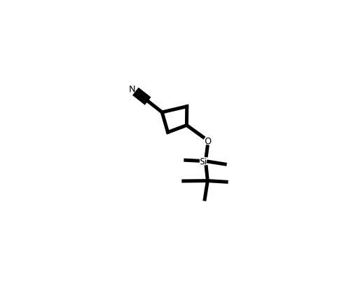 CC(C)(C)[Si](C)(C)OC1CC(C#N)C1